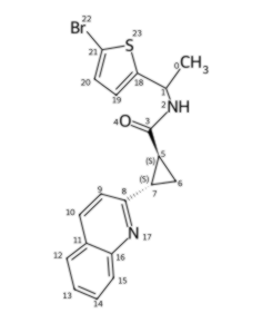 CC(NC(=O)[C@H]1C[C@@H]1c1ccc2ccccc2n1)c1ccc(Br)s1